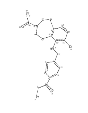 CC(C)CC(=O)c1ccc(CNc2c(Cl)ccc3c2CCN(C(=O)C(F)(F)F)CC3)cc1